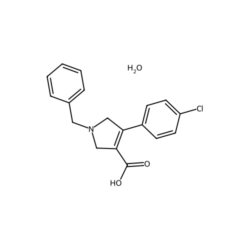 O.O=C(O)C1=C(c2ccc(Cl)cc2)CN(Cc2ccccc2)C1